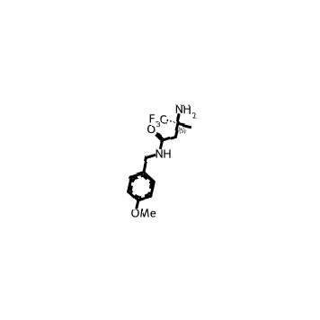 COc1ccc(CNC(=O)C[C@](C)(N)C(F)(F)F)cc1